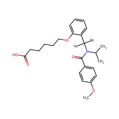 [2H]C([2H])(c1ccccc1OCCCCCC(=O)O)N(C(=O)c1ccc(OC)cc1)C(C)C